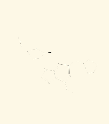 Nc1nc(OC2CCCC2)nc2c1ncn2[C@@H]1O[C@H](CF)[C@H](O)[C@H]1O